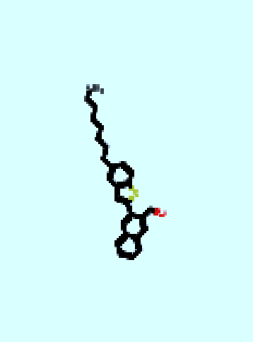 CCCCCCCCc1ccc2sc(-c3cc4ccccc4cc3C=O)cc2c1